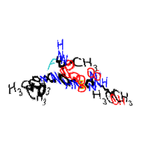 CCOc1nc2[nH]cc(F)c2cc1Oc1cc(N2CCC3(CC2)CN([C@@H]2CCC[C@@H]2c2ccccc2C(C)(C)C)C3)ccc1C(=O)NS(=O)(=O)c1cnc(NCCCC[C@](C)(O)CC)c([N+](=O)[O-])c1